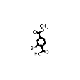 COC(=O)c1ccc(C(=O)O)c(Br)c1